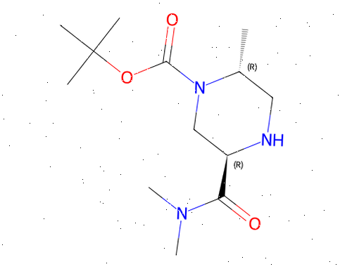 C[C@@H]1CN[C@@H](C(=O)N(C)C)CN1C(=O)OC(C)(C)C